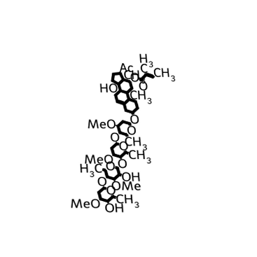 C/C=C(\C)C(=O)OC1CC2C(CC=C3CC(O[C@H]4C[C@@H](OC)[C@H](O[C@H]5C[C@@H](OC)[C@H](O[C@@H]6OC(C)[C@@H](O[C@H]7C[C@@H](OC)[C@H](O)C(C)O7)[C@H](OC)C6O)C(C)O5)C(C)O4)CCC32C)C2(O)CCC(C(C)=O)C12C